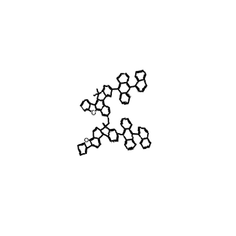 CC1(C)c2ccc(-c3c4ccccc4c(-c4cccc5ccccc45)c4ccccc34)cc2-c2c1c1c3ccccc3oc1c1cc(CC3(C)c4cc(-c5c6ccccc6c(-c6cccc7ccccc67)c6ccccc56)ccc4-c4c3ccc3c4ccc4c5ccccc5oc34)ccc21